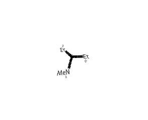 CCC(CC)NC